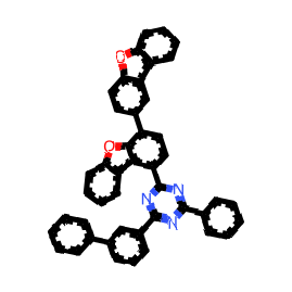 c1ccc(-c2cccc(-c3nc(-c4ccccc4)nc(-c4ccc(-c5ccc6oc7ccccc7c6c5)c5oc6ccccc6c45)n3)c2)cc1